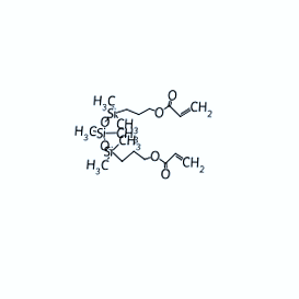 C=CC(=O)OCCC[Si](C)(C)O[Si](C)(C)O[Si](C)(C)CCCOC(=O)C=C